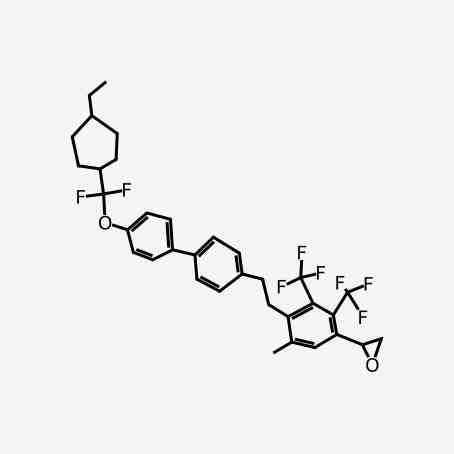 CCC1CCC(C(F)(F)Oc2ccc(-c3ccc(CCc4c(C)cc(C5CO5)c(C(F)(F)F)c4C(F)(F)F)cc3)cc2)CC1